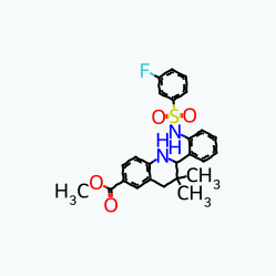 COC(=O)c1ccc2c(c1)CC(C)(C)C(c1ccccc1NS(=O)(=O)c1cccc(F)c1)N2